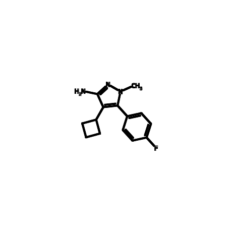 Cn1nc(N)c(C2CCC2)c1-c1ccc(F)cc1